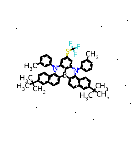 Cc1cccc(N2c3cc(SC(F)(F)F)cc4c3B(c3ccc5cc(C(C)(C)C)ccc5c32)c2ccc3cc(C(C)(C)C)ccc3c2N4c2cccc(C)c2)c1